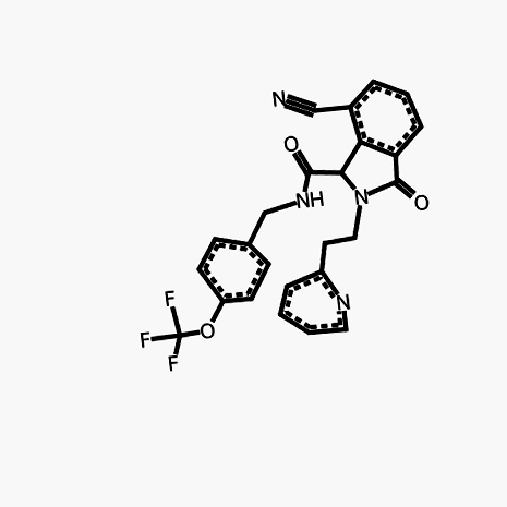 N#Cc1cccc2c1C(C(=O)NCc1ccc(OC(F)(F)F)cc1)N(CCc1ccccn1)C2=O